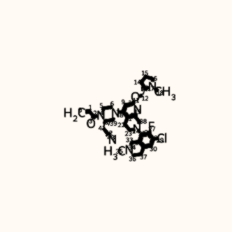 C=CC(=O)N1CCN(c2cc(OC[C@@H]3CCCN3C)nc3c2CCN(c2c(F)c(Cl)cc4c2CN(C)CC4)C3)C[C@@H]1CC#N